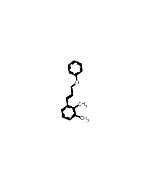 Cc1cccc(C=CCOc2ccccc2)c1C